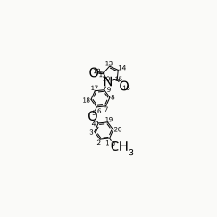 Cc1ccc(Oc2ccc(N3C(=O)C=CC3=O)cc2)cc1